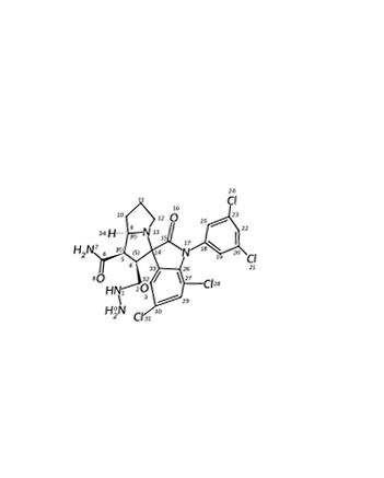 NNC(=O)[C@H]1[C@@H](C(N)=O)[C@H]2CCCN2C12C(=O)N(c1cc(Cl)cc(Cl)c1)c1c(Cl)cc(Cl)cc12